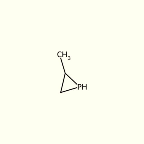 CC1CP1